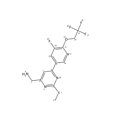 CSc1nc(CN)cc(-c2cnc(OCC(F)(F)F)c(F)c2)n1